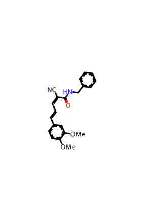 COc1ccc(C=CC=C(C#N)C(=O)NCc2ccccc2)cc1OC